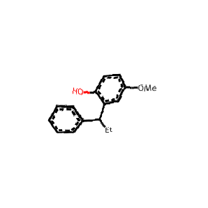 CCC(c1ccccc1)c1cc(OC)ccc1O